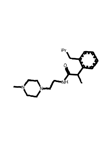 CC(C)Cc1ccccc1C(C)C(=O)NCCN1CCN(C)CC1